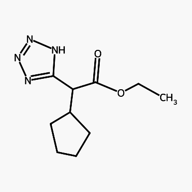 CCOC(=O)C(c1nnn[nH]1)C1CCCC1